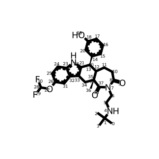 CC(C)(C)NCCN1C(=O)CCC2[C@H](c3cccc(O)c3)c3[nH]c4ccc(OC(F)F)cc4c3C[C@@]2(C)C1=O